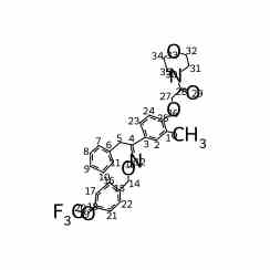 Cc1cc(C(Cc2ccccc2)=NOCc2ccc(OC(F)(F)F)cc2)ccc1OCC(=O)N1CCOCC1